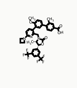 COc1ccc(-c2ccc(C(=O)O)cc2C)cc1-c1ccc(N2CCC2)nc1CN1C(=O)O[C@H](c2cc(C(F)(F)F)cc(C(F)(F)F)c2)[C@@H]1C